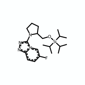 CC(C)[Si](OCC1CCCN1c1nnc2ccc(F)cn12)(C(C)C)C(C)C